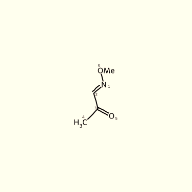 CON=CC(C)=O